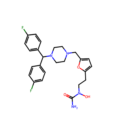 NC(=O)N(O)CCc1ccc(CN2CCN(C(c3ccc(F)cc3)c3ccc(F)cc3)CC2)o1